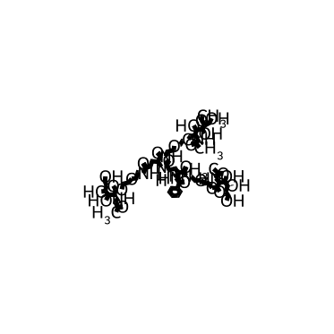 COC(CO)C(O)C(O)C(COCCOCCNC(=O)C(CCC(=O)NCCOCCOC1OC(CO)C(O)C(O)[C@@H]1NCC(C)=O)NC(=O)CCC(NC(=O)C1CCCCC1)C(=O)NCCOCCOC1OC(CO)[C@@H](O)C(O)C1NC(C)=O)NC(C)=O